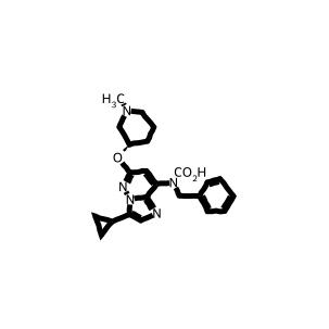 CN1CCC[C@H](Oc2cc(N(Cc3ccccc3)C(=O)O)c3ncc(C4CC4)n3n2)C1